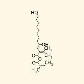 CC=C(C)C(=O)OC(=O)C(CC(O)CCCCCCCCO)=C(C)C